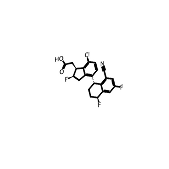 N#Cc1cc(F)cc2c1[C@@H](c1ccc(Cl)c3c1C[C@@H](F)[C@H]3CC(=O)O)CC[C@@H]2F